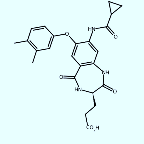 Cc1ccc(Oc2cc3c(cc2NC(=O)C2CC2)NC(=O)[C@@H](CCC(=O)O)NC3=O)cc1C